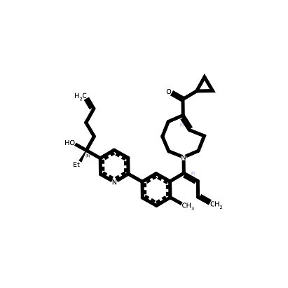 C=C/C=C(\c1cc(-c2ccc([C@@](O)(CC)CCC=C)cn2)ccc1C)N1CC/C=C(\C(=O)C2CC2)CCC1